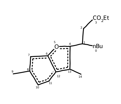 CCCCC(CC(=O)OCC)c1oc2cc(C)ccc2c1C